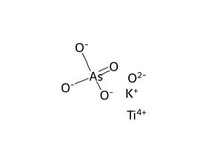 O=[As]([O-])([O-])[O-].[K+].[O-2].[Ti+4]